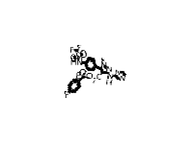 CCOC(=O)c1c(Nc2cnccn2)nn(C)c1-c1ccc(NS(=O)(=O)C(F)F)c(O[C@@H](C)c2ccc(F)cc2)c1